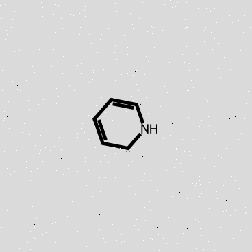 [C]1C=CC=[C]N1